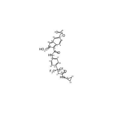 CS(=O)(=O)c1ccc2c(C(=O)Nc3ccc(C(CC(=O)NC4CC4)(C(F)(F)F)C(F)(F)F)cc3)n(C(=O)O)cc2c1